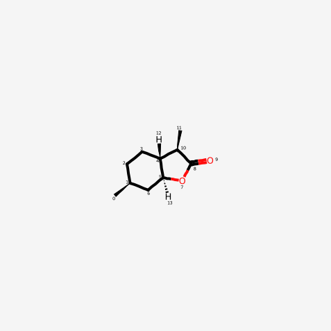 C[C@H]1CC[C@H]2[C@H](C1)OC(=O)[C@@H]2C